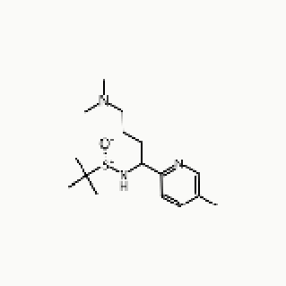 Cc1ccc(C(CCCN(C)C)N[S@@+]([O-])C(C)(C)C)nc1